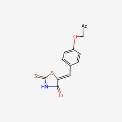 CC(=O)COc1ccc(/C=C2\SC(=S)NC2=O)cc1